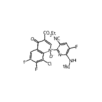 CCOC(=O)C1=C[N+]([O-])(c2nc(NC(C)(C)C)c(F)cc2C#N)c2c(cc(F)c(F)c2Cl)C1=O